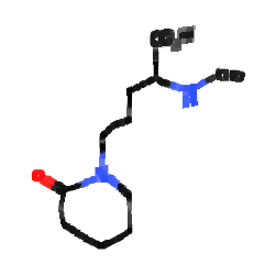 O=CNC(CCCN1CCCCC1=O)C(=O)O